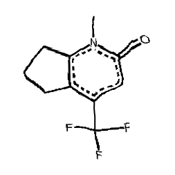 Cn1c2c(c(C(F)(F)F)cc1=O)CCC2